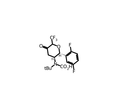 CC(C)(C)N(C(=O)O)[C@H]1CC(=O)C(C(F)(F)F)O[C@@H]1c1cc(F)ccc1F